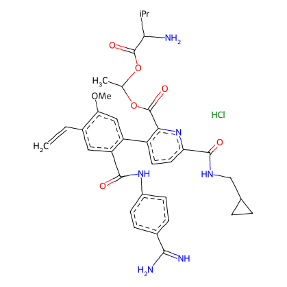 C=Cc1cc(C(=O)Nc2ccc(C(=N)N)cc2)c(-c2ccc(C(=O)NCC3CC3)nc2C(=O)OC(C)OC(=O)C(N)C(C)C)cc1OC.Cl